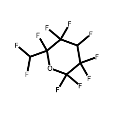 FC1C(F)(F)C(F)(F)OC(F)(C(F)F)C1(F)F